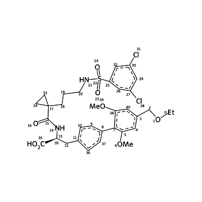 CCOCc1cc(OC)c(-c2ccc(C[C@H](NC(=O)C3(CCCNS(=O)(=O)c4cc(Cl)cc(Cl)c4)CC3)C(=O)O)cc2)c(OC)c1